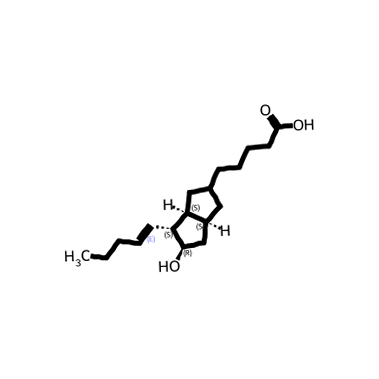 CCC/C=C/[C@@H]1[C@H]2CC(CCCCC(=O)O)C[C@H]2C[C@H]1O